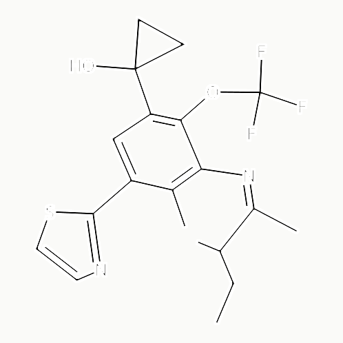 CCC(C)/C(C)=N\c1c(C)c(-c2nccs2)cc(C2(O)CC2)c1OC(F)(F)F